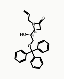 C=CCN1C(=O)C[C@H]1[C@H](O)COC(c1ccccc1)(c1ccccc1)c1ccccc1